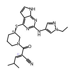 CCn1cc(Nc2nc(S[C@@H]3CCCN(C(=O)/C(C#N)=C/C(C)C)C3)c3cc[nH]c3n2)cn1